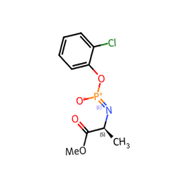 COC(=O)[C@H](C)/N=[P+](\[O-])Oc1ccccc1Cl